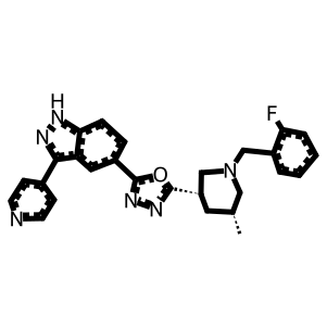 C[C@@H]1C[C@H](c2nnc(-c3ccc4[nH]nc(-c5ccncc5)c4c3)o2)CN(Cc2ccccc2F)C1